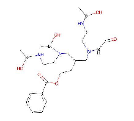 CB(O)NCCN(BC=O)CC(CCOC(=O)c1ccccc1)CN(CCNB(C)O)B(C)O